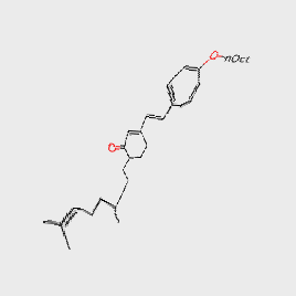 CCCCCCCCOc1ccc(C=CC2=CC(=O)C(CCC(C)CCC=C(C)C)CC2)cc1